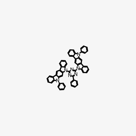 c1ccc(-c2nc(-n3c4ccccc4c4cc5c(cc43)c3ccccc3n5-c3ccccc3)nc(-n3c4ccccc4c4cc5c6ccccc6n(-c6ccccc6)c5cc43)n2)cc1